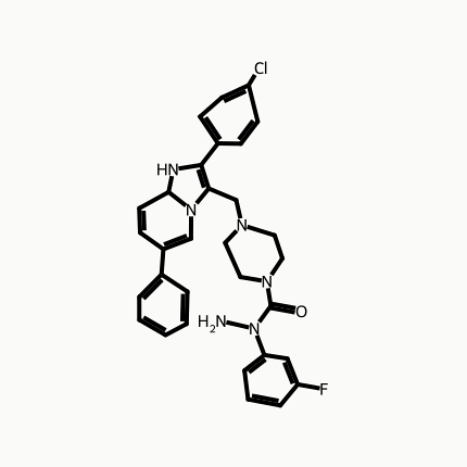 NN(C(=O)N1CCN(CC2=C(c3ccc(Cl)cc3)NC3C=CC(c4ccccc4)=CN23)CC1)c1cccc(F)c1